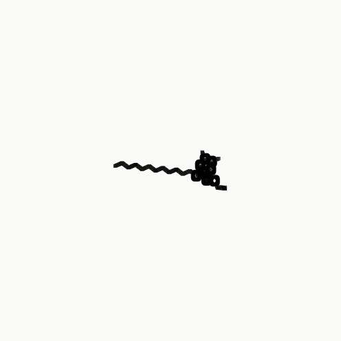 C=COO[Si](OCCCCCCCCCCCC)(OOC)OOC